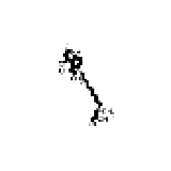 Cc1c(C)n(CCCCCCCCCN(C)CC(O)CO)c2ccc3[nH]c(=O)cc(Cl)c3c12